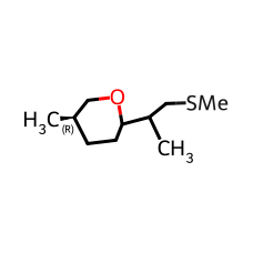 CSCC(C)C1CC[C@@H](C)CO1